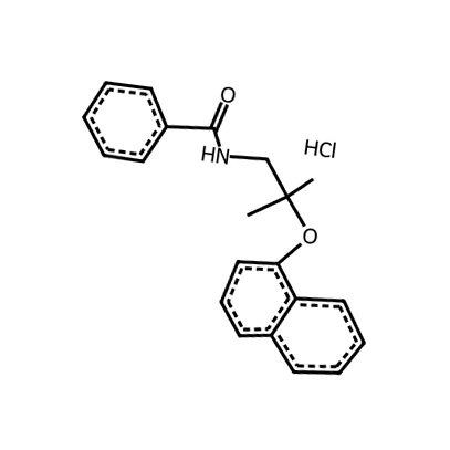 CC(C)(CNC(=O)c1ccccc1)Oc1cccc2ccccc12.Cl